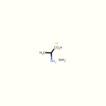 CC(N)C(=O)O.F.[SnH2]